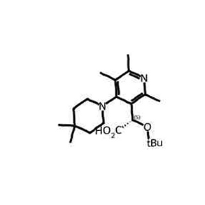 Cc1nc(C)c([C@H](OC(C)(C)C)C(=O)O)c(N2CCC(C)(C)CC2)c1C